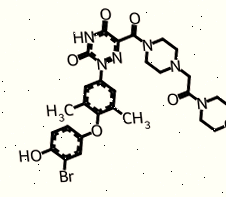 Cc1cc(-n2nc(C(=O)N3CCN(CC(=O)N4CCOCC4)CC3)c(=O)[nH]c2=O)cc(C)c1Oc1ccc(O)c(Br)c1